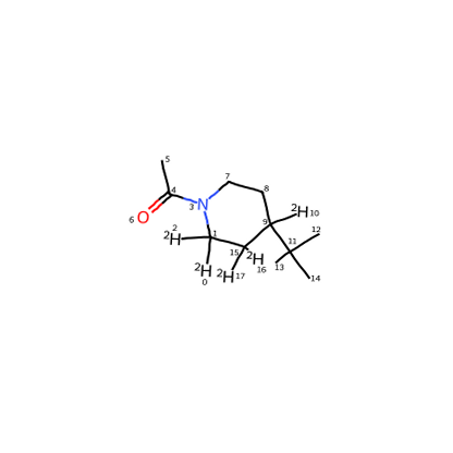 [2H]C1([2H])N(C(C)=O)CCC([2H])(C(C)(C)C)C1([2H])[2H]